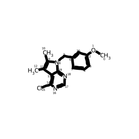 COc1cccc(Cn2c(C)c(C)c3c(Cl)ncnc32)c1